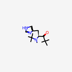 CN([C@@H](Cc1c[nH]cn1)C(=O)C(C)(C)C)C(C)(C)C